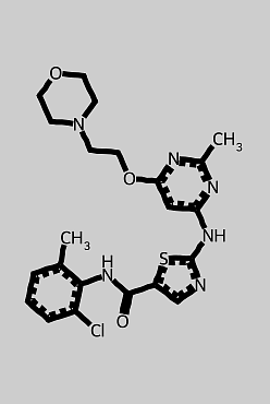 Cc1nc(Nc2ncc(C(=O)Nc3c(C)cccc3Cl)s2)cc(OCCN2CCOCC2)n1